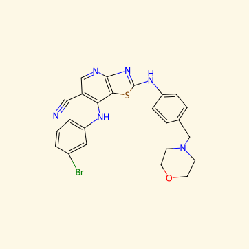 N#Cc1cnc2nc(Nc3ccc(CN4CCOCC4)cc3)sc2c1Nc1cccc(Br)c1